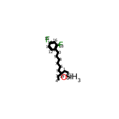 CCC(CC)(CCCCCCc1ccc(F)cc1F)O[SiH3]